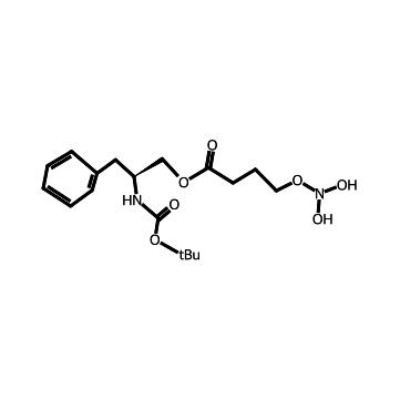 CC(C)(C)OC(=O)N[C@H](COC(=O)CCCON(O)O)Cc1ccccc1